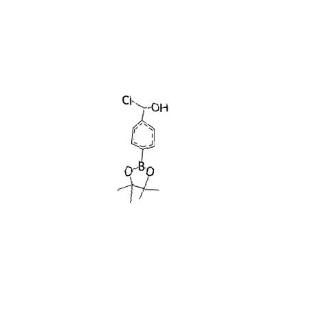 CC1(C)OB(c2ccc(C(O)Cl)cc2)OC1(C)C